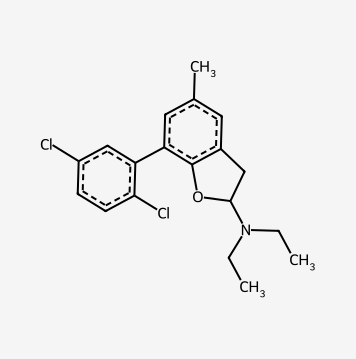 CCN(CC)C1Cc2cc(C)cc(-c3cc(Cl)ccc3Cl)c2O1